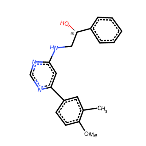 COc1ccc(-c2cc(NC[C@H](O)c3ccccc3)ncn2)cc1C